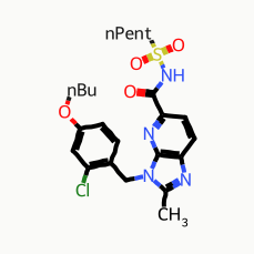 CCCCCS(=O)(=O)NC(=O)c1ccc2nc(C)n(Cc3ccc(OCCCC)cc3Cl)c2n1